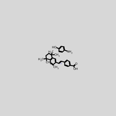 Cc1cc2c(cc1/C=C/c1ccc(C(=O)O)cc1)C(C)(C)CCC2(C)C.Nc1ccc(O)cc1